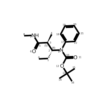 CC[C@H]([C@H](C)C(=O)NC)N(C(=O)OC(C)(C)C)c1ccccc1